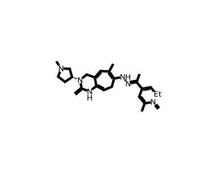 C=N\C(C)=C/C(=C\CC)C(/C)=N/NC1=C(C)C=C2CN([C@@H]3CCN(C)C3)C(=C)NC2=CC1